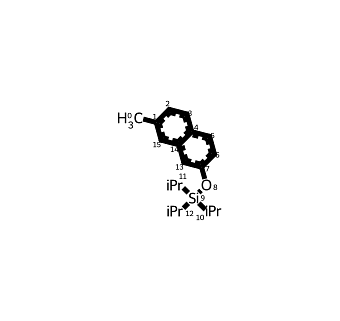 Cc1ccc2ccc(O[Si](C(C)C)(C(C)C)C(C)C)cc2c1